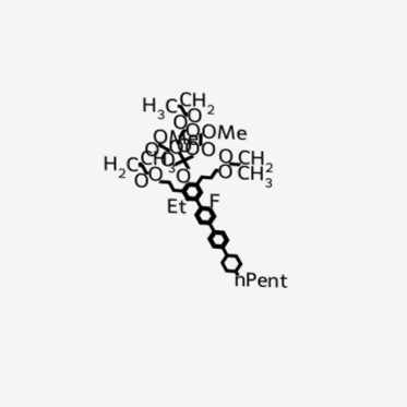 C=C(C)C(=O)OCCCc1cc(-c2ccc(-c3ccc(C4CCC(CCCCC)CC4)cc3)cc2F)c(CC)c(CCCOC(=O)C(=C)C)c1OCC(COCCOC(=O)C(=C)C)(COC(=O)C(=O)OC)COC(=O)C(=O)OC